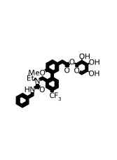 CCN(Cc1cc(C(F)(F)F)ccc1-c1cc(CC(=O)O[C@@H]2OC[C@@H](O)[C@H](O)[C@H]2O)ccc1OC)C(=O)NCc1ccccc1